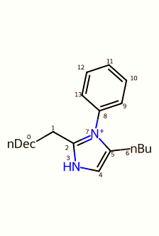 CCCCCCCCCCCc1[nH]cc(CCCC)[n+]1-c1ccccc1